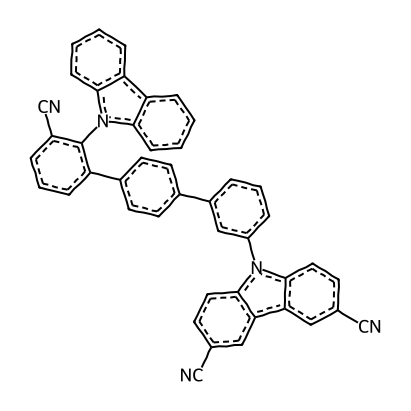 N#Cc1ccc2c(c1)c1cc(C#N)ccc1n2-c1cccc(-c2ccc(-c3cccc(C#N)c3-n3c4ccccc4c4ccccc43)cc2)c1